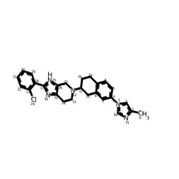 Cc1cn(-c2ccc3c(c2)CC(N2CCc4nc(-c5ccccc5Cl)[nH]c4C2)CC3)cn1